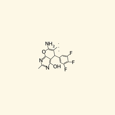 [C]C1=C(N)Oc2nc(C)nc(O)c2C1c1cc(F)c(F)c(F)c1